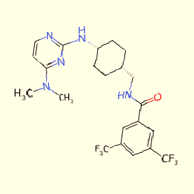 CN(C)c1ccnc(N[C@H]2CC[C@@H](CNC(=O)c3cc(C(F)(F)F)cc(C(F)(F)F)c3)CC2)n1